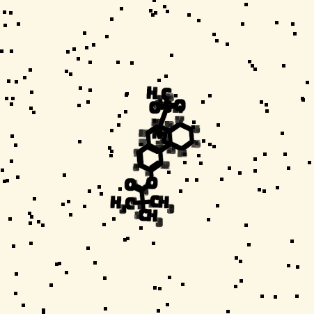 CC(C)(C)C(=O)Oc1ccc2c(c1)C13CCCCC1C(C2)N(S(C)(=O)=O)CC3